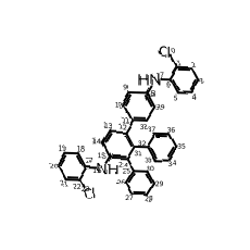 Clc1ccccc1Nc1ccc(-c2ccc(Nc3ccccc3Cl)c(-c3ccccc3)c2-c2ccccc2)cc1